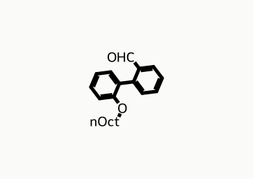 CCCCCCCCOc1ccccc1-c1ccccc1C=O